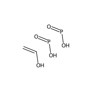 C=CO.O=PO.O=PO